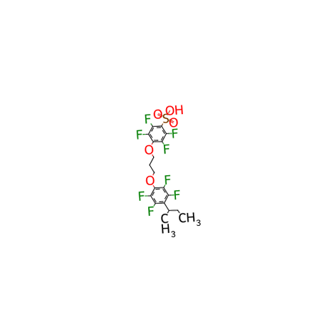 CCC(C)c1c(F)c(F)c(OCCCOc2c(F)c(F)c(S(=O)(=O)O)c(F)c2F)c(F)c1F